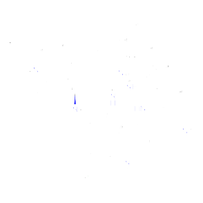 C=C(/C(C)=N\C(F)=C/C)[C@H](Nc1cc(Cl)c2ncc(C#N)c(NCC3(C)CCC3)c2c1)C1=CN(C2(C(F)F)CC2)NN1